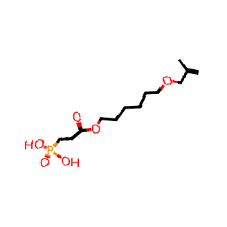 C=C(C)COCCCCCCOC(=O)CCP(=O)(O)O